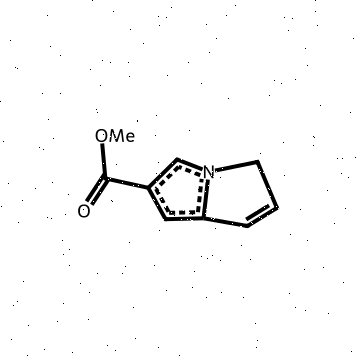 COC(=O)c1cc2n(c1)CC=C2